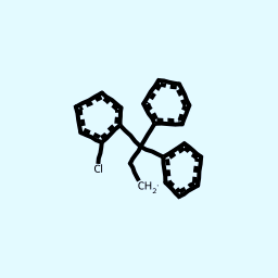 [CH2]CC(c1ccccc1)(c1ccccc1)c1ccccc1Cl